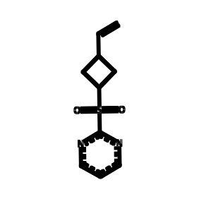 C=CC1CC(S(=O)(=O)c2ncccn2)C1